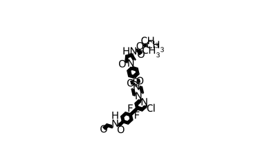 CC(C)(C)OC(=O)N[C@@H]1CC(=O)N(c2ccc(S(=O)(=O)N3CCN(c4cc(C(F)(F)C5CCC(C(=O)NCC=O)CC5)cc(Cl)n4)CC3)cc2)C1